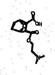 CN(C)CCOC(=O)C1C2C=CC(O2)C1C(=O)O